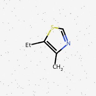 [CH2]c1ncsc1CC